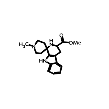 COC(=O)C1Cc2c([nH]c3ccccc23)C2(CCN(C)CC2)N1